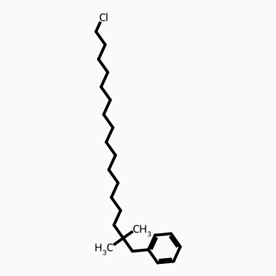 CC(C)(CCCCCCCCCCCCCCCCl)Cc1ccccc1